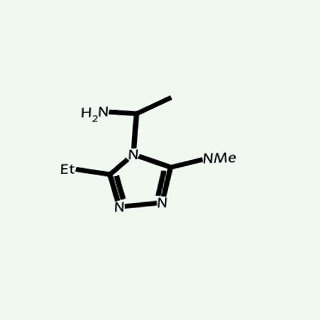 CCc1nnc(NC)n1C(C)N